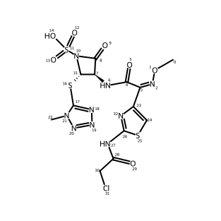 CO/N=C(\C(=O)N[C@@H]1C(=O)N(S(=O)(=O)O)[C@H]1Sc1nnnn1C)c1csc(NC(=O)CCl)n1